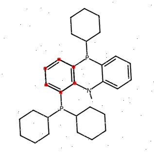 CN(c1ccccc1P(C1CCCCC1)C1CCCCC1)c1ccccc1P(C1CCCCC1)C1CCCCC1